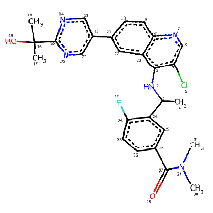 CC(Nc1c(Cl)cnc2ccc(-c3cnc(C(C)(C)O)nc3)cc12)c1cc(C(=O)N(C)C)ccc1F